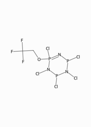 FC(F)(F)COP1(Cl)=NP(Cl)N(Cl)P(Cl)N1Cl